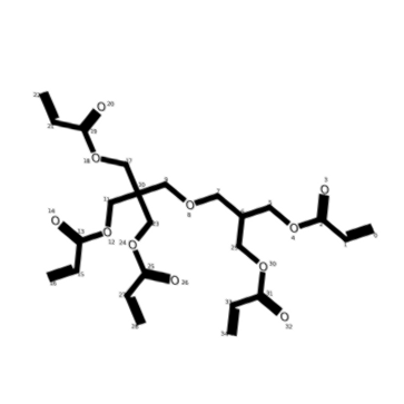 C=CC(=O)OCC(COCC(COC(=O)C=C)(COC(=O)C=C)COC(=O)C=C)COC(=O)C=C